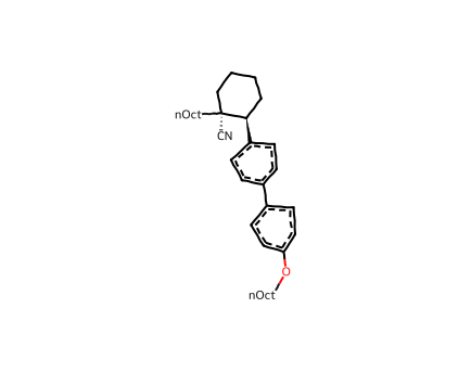 CCCCCCCCOc1ccc(-c2ccc([C@@H]3CCCC[C@]3(C#N)CCCCCCCC)cc2)cc1